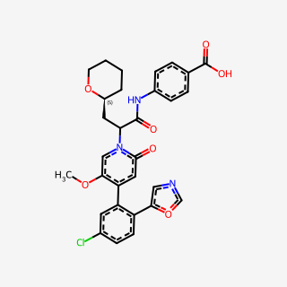 COc1cn(C(C[C@@H]2CCCCO2)C(=O)Nc2ccc(C(=O)O)cc2)c(=O)cc1-c1cc(Cl)ccc1-c1cnco1